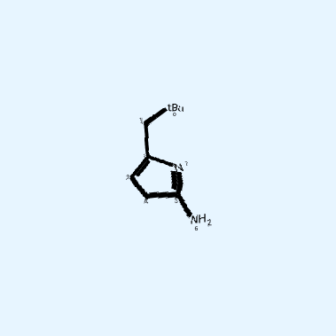 CC(C)(C)CC1=CCC(N)=N1